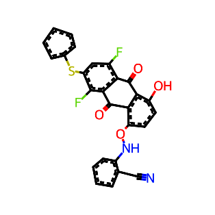 N#Cc1ccccc1NOc1ccc(O)c2c1C(=O)c1c(F)c(Sc3ccccc3)cc(F)c1C2=O